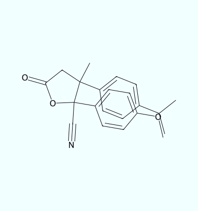 COc1ccc(C2(C#N)OC(=O)CC2(C)c2ccc(C(C)C)cc2)cc1